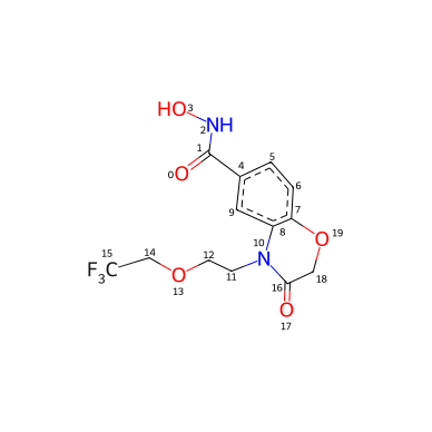 O=C(NO)c1ccc2c(c1)N(CCOCC(F)(F)F)C(=O)CO2